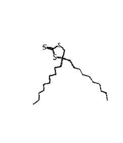 CCCCCCCCCCC1(CCCCCCCCCC)CSC(=S)S1